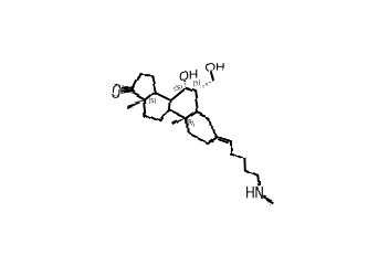 CNCCCCC=C1CC[C@]2(C)C3CC[C@]4(C)C(=O)CCC4C3[C@H](O)[C@H](CO)C2C1